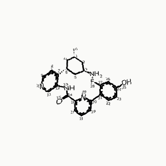 C[C@@H]1C[C@@H](N)C[C@H](c2ccncc2NC(=O)c2cccc(-c3ccc(O)cc3F)n2)C1